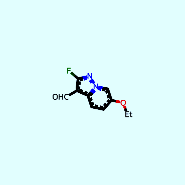 CCOc1ccc2c(C=O)c(F)nn2c1